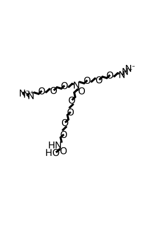 [N-]=[N+]=NCCOCCOCCOCCN(CCOCCOCCOCCN=[N+]=[N-])C(=O)CCOCCOCCOCCOCCNC(=O)O